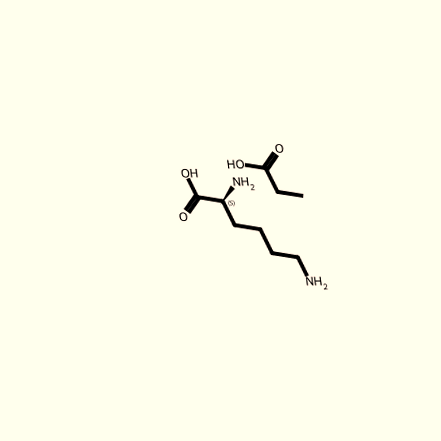 CCC(=O)O.NCCCC[C@H](N)C(=O)O